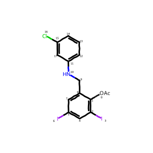 CC(=O)Oc1c(I)cc(I)cc1CNc1cccc(Cl)c1